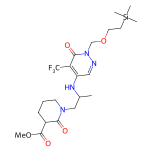 COC(=O)C1CCCN(CC(C)Nc2cnn(COCC[Si](C)(C)C)c(=O)c2C(F)(F)F)C1=O